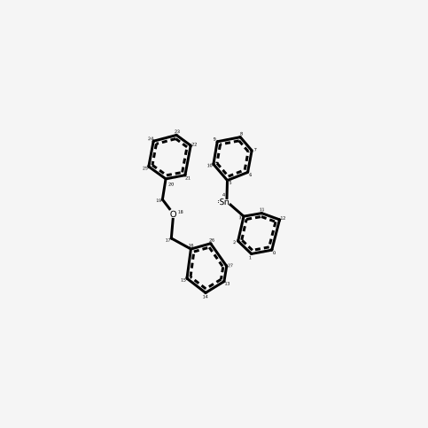 c1cc[c]([Sn][c]2ccccc2)cc1.c1ccc(COCc2ccccc2)cc1